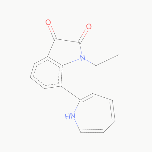 CCN1C(=O)C(=O)c2cccc(C3=CC=CC=CN3)c21